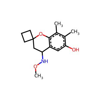 CONC1CC2(CCC2)Oc2c1cc(O)c(C)c2C